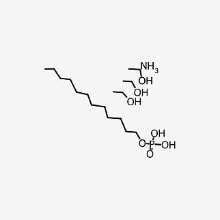 CCCCCCCCCCCCOP(=O)(O)O.CCO.CCO.CCO.N